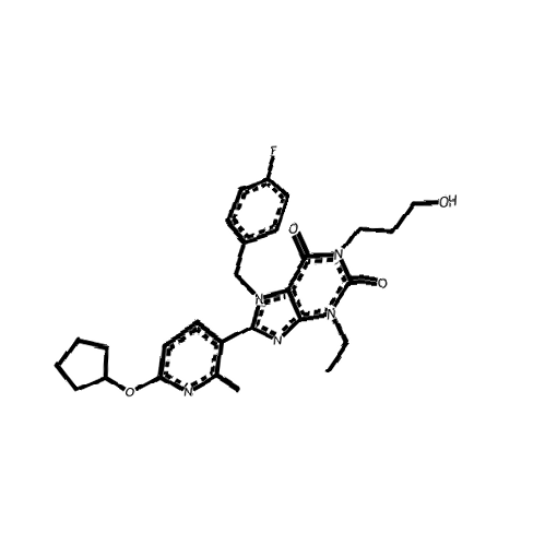 CCn1c(=O)n(CCCO)c(=O)c2c1nc(-c1ccc(OC3CCCC3)nc1C)n2Cc1ccc(F)cc1